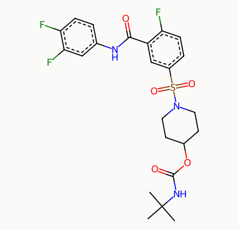 CC(C)(C)NC(=O)OC1CCN(S(=O)(=O)c2ccc(F)c(C(=O)Nc3ccc(F)c(F)c3)c2)CC1